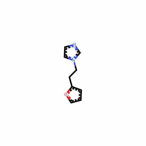 [c]1nccn1CCc1ccco1